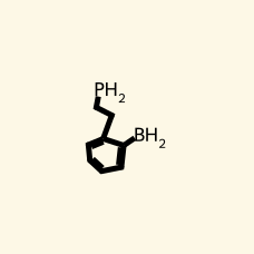 Bc1ccccc1CCP